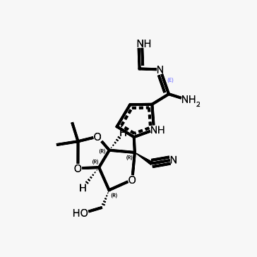 CC1(C)O[C@H]2[C@@H](O1)[C@](C#N)(c1ccc(/C(N)=N\C=N)[nH]1)O[C@@H]2CO